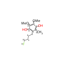 COc1c(O)c(C)c(CCCCF)c(O)c1OC